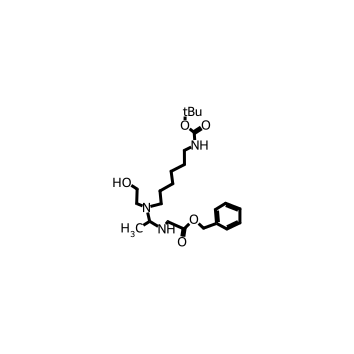 CC(NCC(=O)OCc1ccccc1)N(CCO)CCCCCCNC(=O)OC(C)(C)C